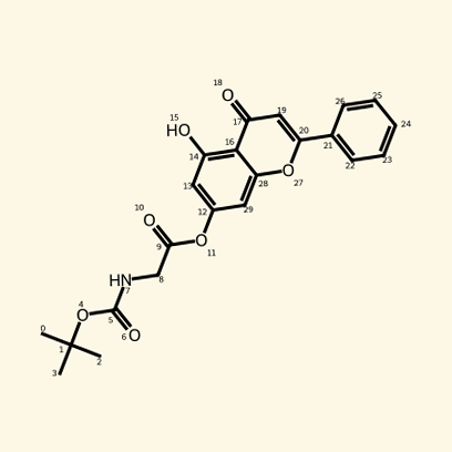 CC(C)(C)OC(=O)NCC(=O)Oc1cc(O)c2c(=O)cc(-c3ccccc3)oc2c1